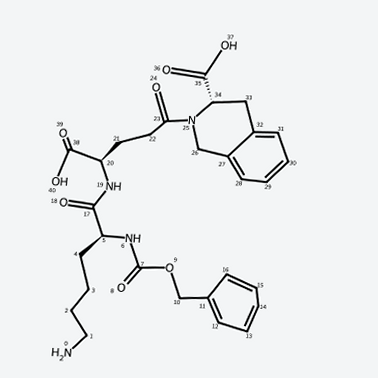 NCCCC[C@H](NC(=O)OCc1ccccc1)C(=O)N[C@H](CCC(=O)N1Cc2ccccc2C[C@H]1C(=O)O)C(=O)O